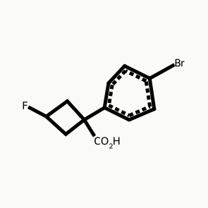 O=C(O)C1(c2ccc(Br)cc2)CC(F)C1